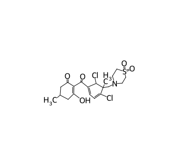 CC1CC(=O)C(C(=O)C2=CC=C(Cl)C(C)(CN3CCS(=O)(=O)CC3)C2Cl)=C(O)C1